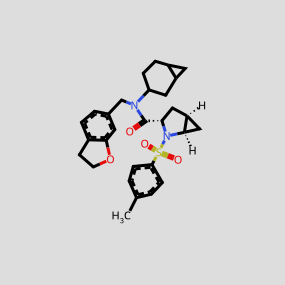 Cc1ccc(S(=O)(=O)N2[C@@H]3C[C@@H]3C[C@H]2C(=O)N(Cc2ccc3c(c2)OCC3)C2CCC3CC3C2)cc1